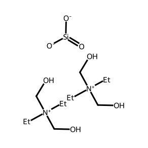 CC[N+](CC)(CO)CO.CC[N+](CC)(CO)CO.O=[Si]([O-])[O-]